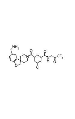 NCc1ccc2c(c1)C1(CCN(C(=O)c3cc(Cl)cc(C(=O)NCC(=O)C(F)(F)F)c3)CC1)CO2